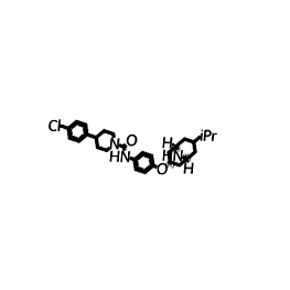 CC(C)C1C[C@@H]2C[C@H](Oc3ccc(NC(=O)N4CCC(c5ccc(Cl)cc5)CC4)cc3)C[C@H](C1)N2